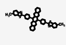 Cc1ccc2nc(-c3ccc(-c4c5cc6ccccc6cc5c(-c5ccc(-c6nc7ccc(C)cc7s6)cc5)c5cc6ccccc6cc45)cc3)sc2c1